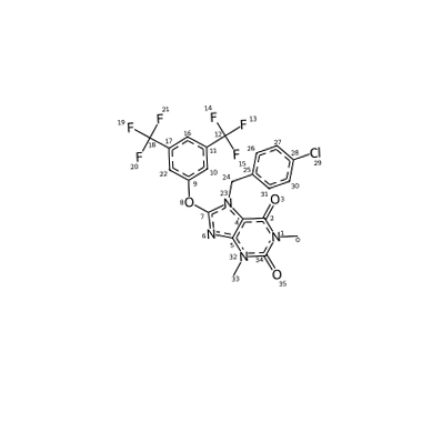 Cn1c(=O)c2c(nc(Oc3cc(C(F)(F)F)cc(C(F)(F)F)c3)n2Cc2ccc(Cl)cc2)n(C)c1=O